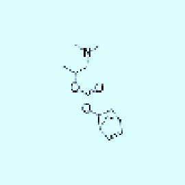 CC(CN(C)C)OC(=O)OC1CC2C=CC1C2